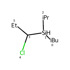 CCC(C)[SiH](C(C)C)C(Cl)CC